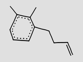 C=CCCc1cccc(C)c1C